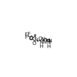 O=C(CN1CC2(CC2)c2cc(C(F)(F)F)ccc2C1=O)Nc1ncc2cn[nH]c2n1